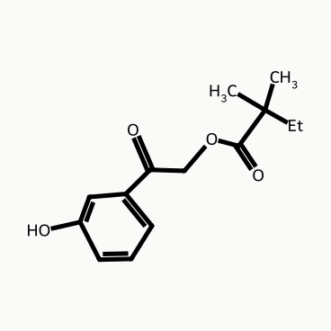 CCC(C)(C)C(=O)OCC(=O)c1cccc(O)c1